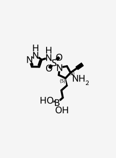 C#C[C@]1(N)CN(S(=O)(=O)Nc2ccn[nH]2)C[C@@H]1CCCB(O)O